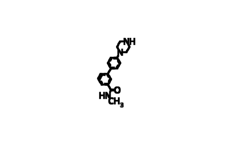 CNC(=O)c1cc#cc(-c2ccc(N3CCNCC3)cc2)c1